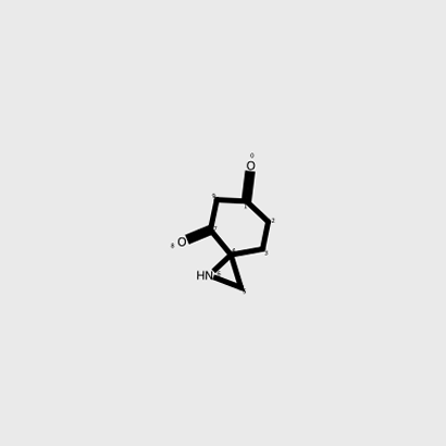 O=C1CCC2(CN2)C(=O)C1